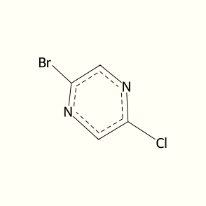 Clc1cnc(Br)cn1